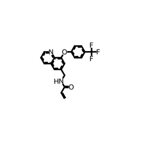 C=CC(=O)NCc1cc(Oc2ccc(C(F)(F)F)cc2)c2ncccc2c1